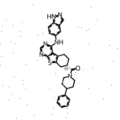 O=C([C@H]1CCc2c(sc3ncnc(Nc4ccc5[nH]ncc5c4)c23)C1)N1CCC(c2ccccc2)CC1